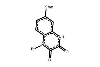 CCn1c(=O)c(=O)[nH]c2cc(SC)ccc21